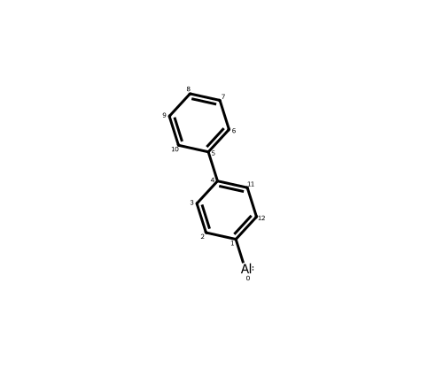 [Al][c]1ccc(-c2ccccc2)cc1